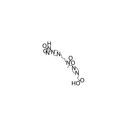 CC1C(N2CCN(CCC(=O)O)CC2)OC(=O)N1CCCCN1CCN(c2noc(=O)[nH]2)CC1